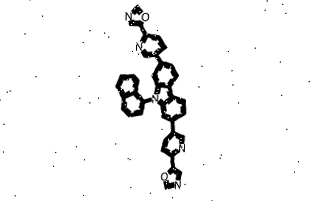 c1ccc2c(-n3c4cc(-c5ccc(-c6cnco6)nc5)ccc4c4ccc(-c5ccc(-c6cnco6)nc5)cc43)cccc2c1